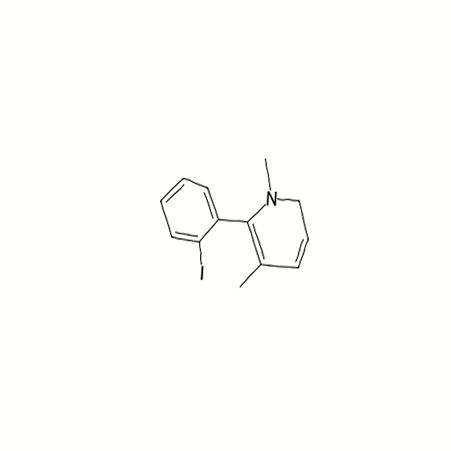 CC1=C(c2ccccc2I)N(C)CC=C1